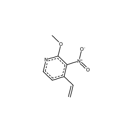 C=Cc1ccnc(OC)c1[N+](=O)[O-]